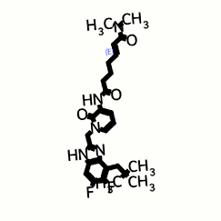 CN(C)C(=O)/C=C/CCCC(=O)Nc1cccn(Cc2nc3c(CC(C)(C)C)c(F)c(F)cc3[nH]2)c1=O